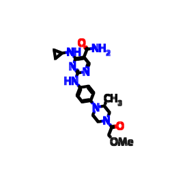 COCC(=O)N1CCN(c2ccc(Nc3ncc(C(N)=O)c(NC4CC4)n3)cc2)[C@@H](C)C1